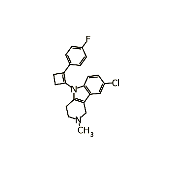 CN1CCc2c(c3cc(Cl)ccc3n2C2=C(c3ccc(F)cc3)CC2)C1